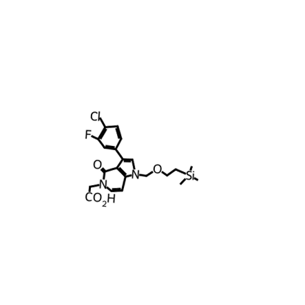 C[Si](C)(C)CCOCn1cc(-c2ccc(Cl)c(F)c2)c2c(=O)n(CC(=O)O)ccc21